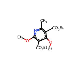 CCOC(=O)c1c(OCC)nc(C(F)(F)F)c(C(=O)OCC)c1OCC